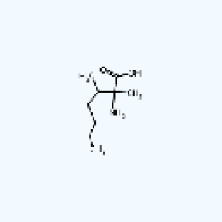 CCCCC(C)C(C)(N)C(=O)O